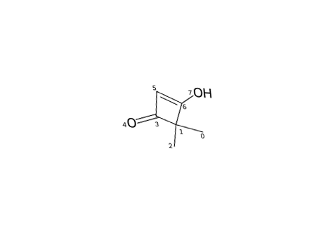 CC1(C)C(=O)C=C1O